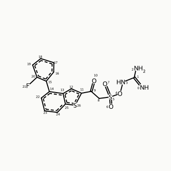 N=C(N)NOS(=O)(=O)CC(=O)c1cc2c(-c3ccccc3F)cccc2s1